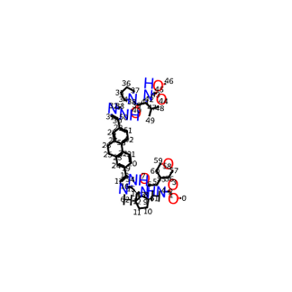 COC(=O)NC(C(=O)N1[C@@H]2CC[C@@H](C2)[C@H]1c1ncc(-c2ccc3c(c2)CCc2cc(-c4cnc([C@@H]5CCCN5C(=O)[C@@H](NC(=O)OC)C(C)C)[nH]4)ccc2-3)[nH]1)C1CCOCC1